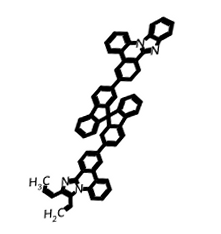 C=Cc1c(/C=C\C)nc2c3ccc(C4=CC=C5c6ccccc6C6(c7ccccc7-c7ccc(C8=Cc9c(c%10nc%11ccccc%11n%10c%10ccccc9%10)CC8)cc76)C5C4)cc3c3ccccc3n12